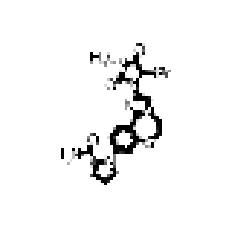 CC(C)C1C(=O)N(C)C(=O)N1c1cn2c(n1)-c1ccc(N3CCC[C@H]3C(N)=O)cc1SCC2